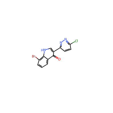 O=c1c(-c2ccc(Cl)nn2)c[nH]c2c(Br)cccc12